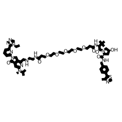 CCn1cnnc1-c1cccc(N2Cc3c(cc(N(C)C(C)C)nc3CNCCNC(=O)CCOCCOCCOCCOCCOCCC(=O)N[C@H](C(=O)N3C[C@H](O)C[C@H]3C(=O)NCc3ccc(-c4scnc4C)cc3)C(C)(C)C)C2=O)n1